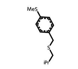 CSc1ccc(CSCC(C)C)cc1